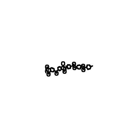 Cc1ccc(C(=O)Oc2ccc(OC(=O)c3ccc(N4C(=O)c5ccc(C(=O)c6ccc7c(c6)C(=O)N(C)C7=O)cc5C4=O)cc3)cc2)cc1